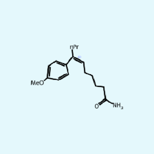 CCC/C(=C/CCCCC(N)=O)c1ccc(OC)cc1